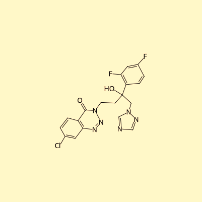 O=c1c2ccc(Cl)cc2nnn1CCC(O)(Cn1cncn1)c1ccc(F)cc1F